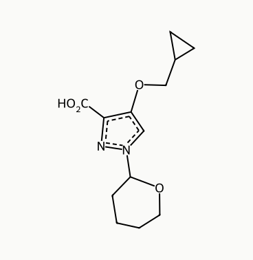 O=C(O)c1nn(C2CCCCO2)cc1OCC1CC1